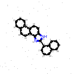 c1ccc2c(-c3nc4c(ccc5c6ccccc6ccc54)[nH]3)cccc2c1